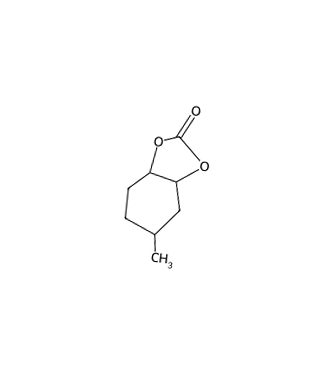 CC1CCC2OC(=O)OC2C1